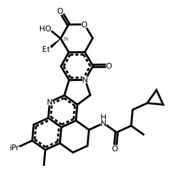 CC[C@@]1(O)C(=O)OCc2c1cc1n(c2=O)Cc2c-1nc1cc(C(C)C)c(C)c3c1c2C(NC(=O)C(C)CC1CC1)CC3